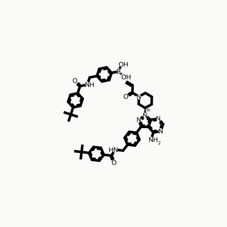 C=CC(=O)N1CCC[C@@H](n2nc(-c3ccc(CNC(=O)c4ccc(C(C)(C)C)cc4)cc3)c3c(N)ncnc32)C1.CC(C)(C)c1ccc(C(=O)NCc2ccc(B(O)O)cc2)cc1